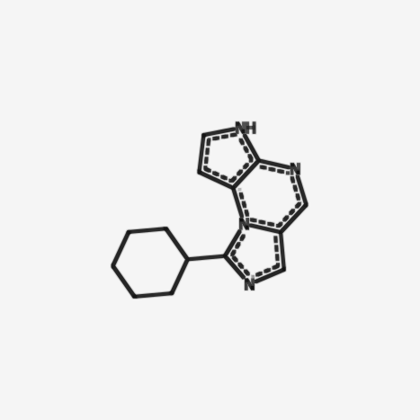 c1cc2c(ncc3cnc(C4CCCCC4)n32)[nH]1